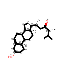 CC(C)[C@@H](C)C(=O)C[C@@H](C)[C@H]1CCC2C3CC=C4C[C@@H](O)CC[C@]4(C)C3CC[C@@]21C